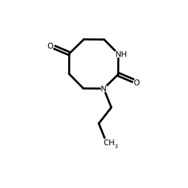 CCCN1CCC(=O)CCNC1=O